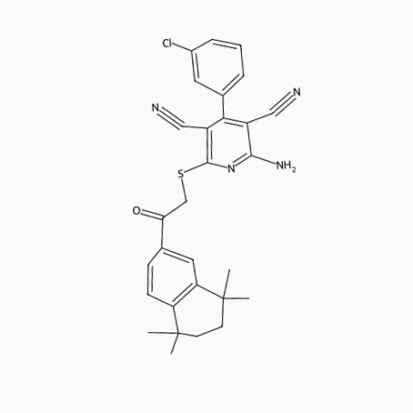 CC1(C)CCC(C)(C)c2cc(C(=O)CSc3nc(N)c(C#N)c(-c4cccc(Cl)c4)c3C#N)ccc21